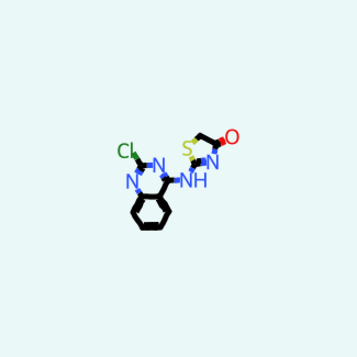 O=C1CSC(Nc2nc(Cl)nc3ccccc23)=N1